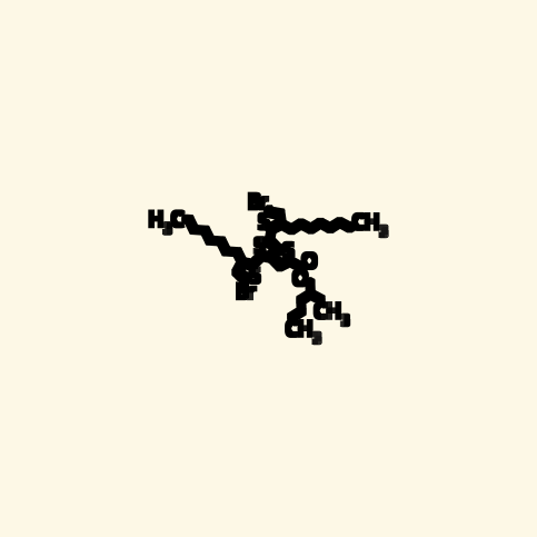 CCCCCCCCc1cc(Br)sc1-c1sc(-c2sc(Br)cc2CCCCCCCC)c2sc(C(=O)OCC(CC)CCCC)cc12